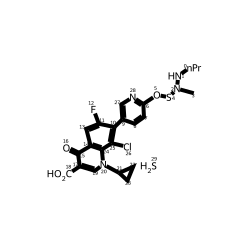 CCCNN(C)SOc1ccc(-c2c(F)cc3c(=O)c(C(=O)O)cn(C4CC4)c3c2Cl)cn1.S